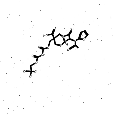 CC(=O)N(c1cccs1)C1C(=O)N2CC(COC(=O)NC(=O)OCC(Cl)(Cl)Cl)(C(=O)O)CS[C@H]12